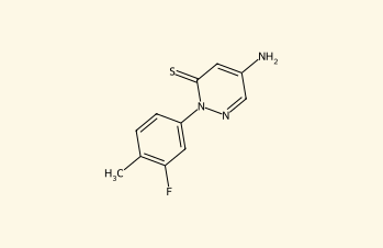 Cc1ccc(-n2ncc(N)cc2=S)cc1F